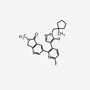 CN1Cc2ncc(-c3nc(F)ccc3-c3cnn(CC4(C)CCCC4)c3F)cc2C1=O